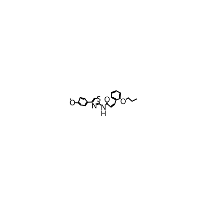 CCCOc1ccccc1/C=C\C(=O)Nc1nc(-c2ccc(OC)cc2)cs1